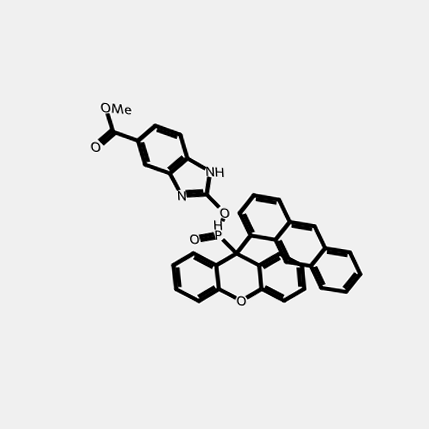 COC(=O)c1ccc2[nH]c(O[PH](=O)C3(c4cccc5cc6ccccc6cc45)c4ccccc4Oc4ccccc43)nc2c1